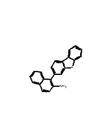 Nc1ccc2ccccc2c1-c1ccc2c(c1)sc1ccccc12